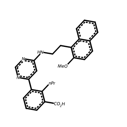 CCCc1c(C(=O)O)cccc1-c1cc(NCCc2c(OC)ccc3ccccc23)ncn1